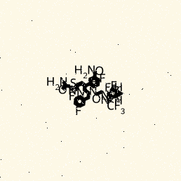 NC(=O)c1nc2nc(C(Cc3cc(F)cc(F)c3)NC(=O)Cn3nc(C(F)(F)F)c4c3C(F)(F)[C@@H]3C[C@H]43)c(-c3ccc(F)c(C(N)=O)c3)cc2s1